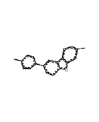 Cc1ccc(-c2ccc3oc4cc(C)ccc4c3c2)cc1